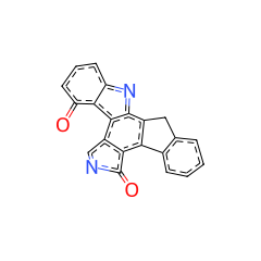 O=c1cccc2nc3c4c(c5c(=O)ncc5c3c1-2)-c1ccccc1C4